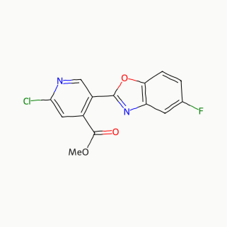 COC(=O)c1cc(Cl)ncc1-c1nc2cc(F)ccc2o1